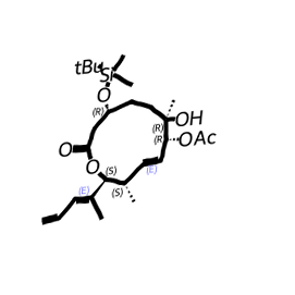 C=C/C=C(\C)[C@H]1OC(=O)C[C@H](O[Si](C)(C)C(C)(C)C)CC[C@@](C)(O)[C@H](OC(C)=O)/C=C/[C@@H]1C